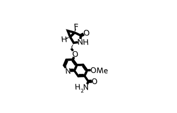 COc1cc2c(OC[C@H]3NC(=O)[C@]4(F)C[C@H]34)ccnc2cc1C(N)=O